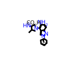 CC1CN(c2c(N)ccc3nn(C45CCC(CC4)CC5)cc23)CC1NC(=O)O